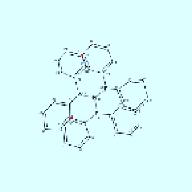 c1ccc(P(c2ccccc2)N(P(c2ccccc2)c2ccccc2)P(c2ccccc2)c2ccccc2)cc1